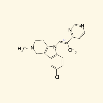 C/C(=C\n1c2c(c3cc(Cl)ccc31)CN(C)CC2)c1ccncn1